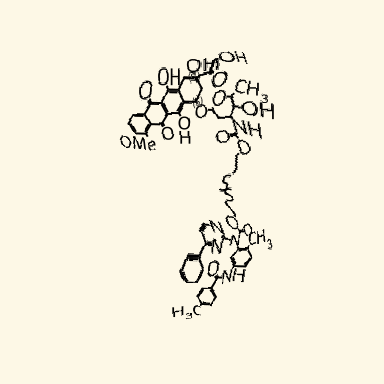 COc1cccc2c1C(=O)c1c(O)c3c(c(O)c1C2=O)C[C@@](O)(C(=O)CO)C[C@@H]3OC1CC(NC(=O)OCCSSCCOC(=O)N(c2nccc(-c3ccccc3)n2)c2cc(NC(=O)c3ccc(C)cc3)ccc2C)C(O)C(C)O1